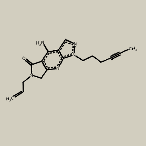 C=CCN1Cc2nc3c(cnn3CCCC#CC)c(N)c2C1=O